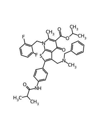 Cc1c(C(=O)OC(C)C)c(=O)c2c(CN(C)Cc3ccccc3)c(-c3ccc(NC(=O)C(C)C)cc3)sc2n1Cc1c(F)cccc1F